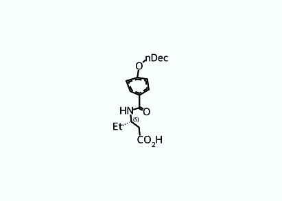 CCCCCCCCCCOc1ccc(C(=O)N[C@@H](CC)CC(=O)O)cc1